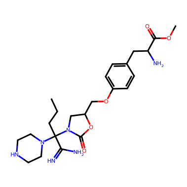 CCCC(C(=N)N)(N1CCNCC1)N1CC(COc2ccc(CC(N)C(=O)OC)cc2)OC1=O